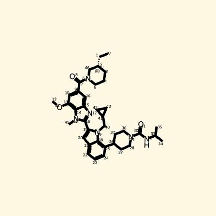 CC[C@@H]1CCCN(C(=O)c2cc(OC)c3c(c2)nc(-c2cc4cccc(C5CCN(C(=O)NC(C)C)CC5)c4n2CC2CC2)n3C)C1